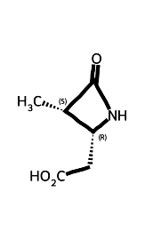 C[C@@H]1C(=O)N[C@@H]1CC(=O)O